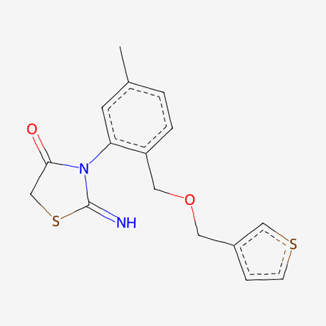 Cc1ccc(COCc2ccsc2)c(N2C(=N)SCC2=O)c1